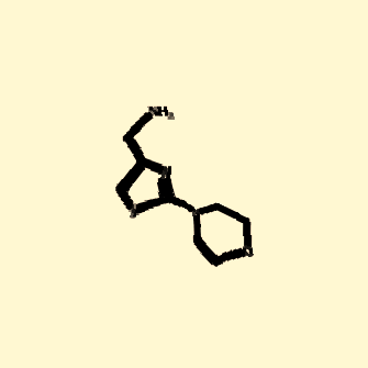 NCc1csc(N2CCOCC2)n1